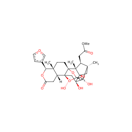 COC(=O)C[C@H]1[C@@]2(C)C[C@@]34O[C@]5(C)O[C@]6([C@@H]7CC(=O)O[C@@H](c8ccoc8)[C@]7(C)CC[C@]6(O5)[C@]13C)[C@H](O)[C@@]4(O)[C@H]2O